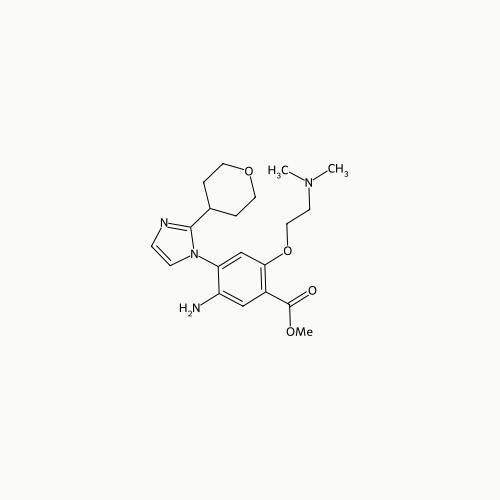 COC(=O)c1cc(N)c(-n2ccnc2C2CCOCC2)cc1OCCN(C)C